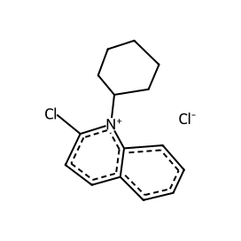 Clc1ccc2ccccc2[n+]1C1CCCCC1.[Cl-]